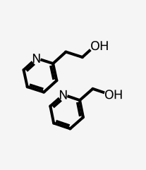 OCCc1ccccn1.OCc1ccccn1